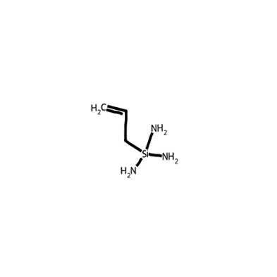 C=CC[Si](N)(N)N